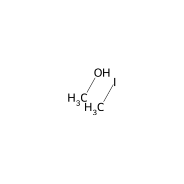 CI.CO